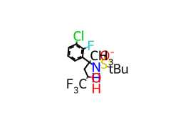 CC(C)(C)[S@@+]([O-])N[C@@](C)(C[C@H](O)C(F)(F)F)c1cccc(Cl)c1F